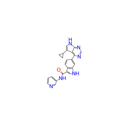 O=C(Nc1cccnc1)c1c[nH]c2cc(-c3ncnc4[nH]cc(C5CC5)c34)ccc12